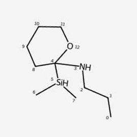 CCCNC1([SiH](C)C)CCCCO1